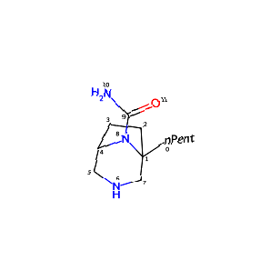 CCCCCC12CCC(CNC1)N2C(N)=O